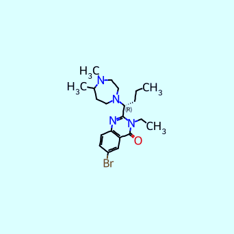 CCC[C@H](c1nc2ccc(Br)cc2c(=O)n1CC)N1CCC(C)N(C)CC1